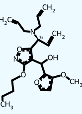 C=CCN(CC=C)[C@@H](C=C)c1onc(OCCCC)c1C(O)c1occc1OC